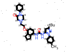 Cc1ccc(-n2nc(C(C)(C)C)cc2NC(=O)Nc2ccc(OCCN3CCN(c4ccccc4)C(=O)C3)c3c2CCC3)cc1